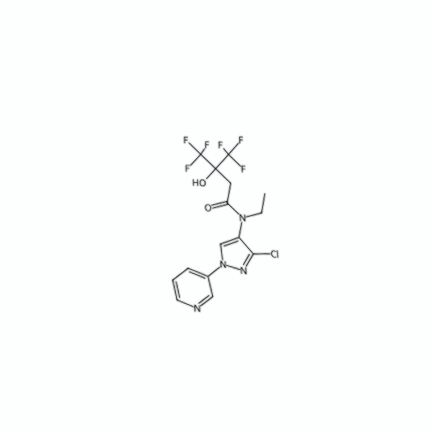 CCN(C(=O)CC(O)(C(F)(F)F)C(F)(F)F)c1cn(-c2cccnc2)nc1Cl